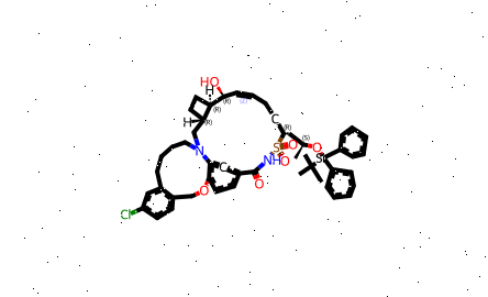 C[C@@H](C[C@H]1CC/C=C\[C@H](O)[C@@H]2CC[C@H]2CN2CCCCc3cc(Cl)ccc3COc3ccc(cc32)C(=O)NS1(=O)=O)O[Si](c1ccccc1)(c1ccccc1)C(C)(C)C